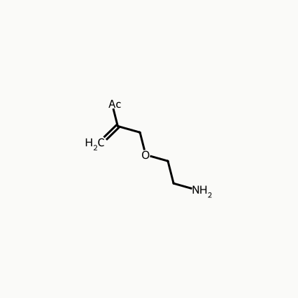 C=C(COCCN)C(C)=O